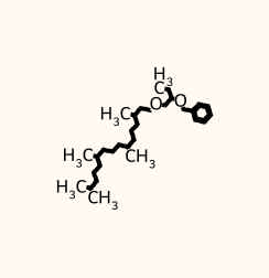 CCC(COCCC(C)CCCC(C)CCCC(C)CCCC(C)C)OCc1ccccc1